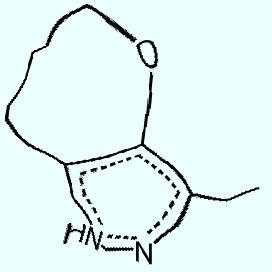 Cc1n[nH]c2c1OCCC2